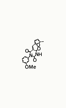 COc1cccc(N2C(=O)NC(=O)/C(=C\c3ccc(C)o3)C2=O)c1